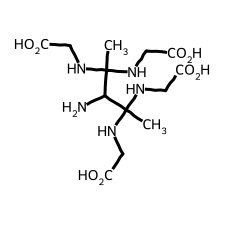 CC(NCC(=O)O)(NCC(=O)O)C(N)C(C)(NCC(=O)O)NCC(=O)O